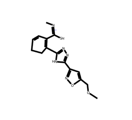 C/N=C(/S)C1=C(c2nnc(-c3cc(COC)on3)[nH]2)CCC=C1